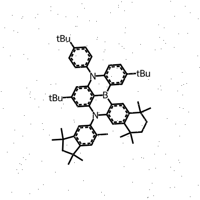 Cc1cc2c(cc1N1c3cc4c(cc3B3c5cc(C(C)(C)C)ccc5N(c5ccc(C(C)(C)C)cc5)c5cc(C(C)(C)C)cc1c53)C(C)(C)CCC4(C)C)C(C)(C)CC2(C)C